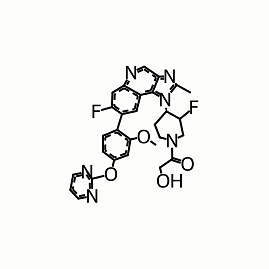 COc1cc(Oc2ncccn2)ccc1-c1cc2c(cc1F)ncc1nc(C)n([C@H]3CCN(C(=O)CO)CC3F)c12